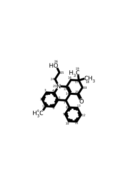 Cc1ccc2c(c1)C(c1ccccc1)C1=C(CC(C)(C)CC1=O)N2CCO